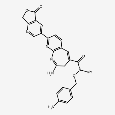 CCCN(OCc1ccc(N)cc1)C(=O)C1=Cc2ccc(-c3cnc4c(c3)C(=O)OC4)nc2N=C(N)C1